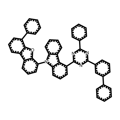 c1ccc(-c2cccc(-c3nc(-c4ccccc4)nc(-c4cccc5c4c4ccccc4n5-c4cccc5c4oc4c(-c6ccccc6)cccc45)n3)c2)cc1